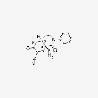 C[C@H]1C(=O)C(C#N)=C[C@@]2(P)C(=O)N(c3ccccc3)CC[C@H]12